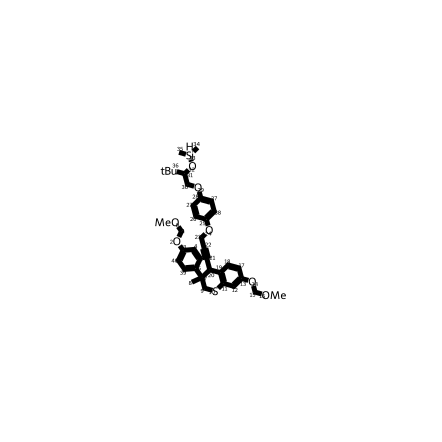 COCOc1ccc(C2(C)CSc3cc(OCOC)ccc3C2C#CCOc2ccc(OCC(O[SiH](C)C)C(C)(C)C)cc2)cc1